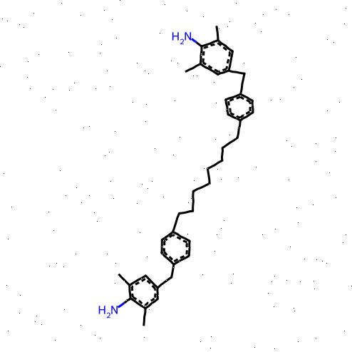 Cc1cc(Cc2ccc(CCCCCCCCc3ccc(Cc4cc(C)c(N)c(C)c4)cc3)cc2)cc(C)c1N